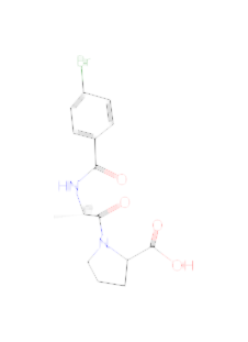 C[C@H](NC(=O)c1ccc(Br)cc1)C(=O)N1CCCC1C(=O)O